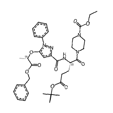 CCOC(=O)N1CCN(C(=O)[C@H](CCC(=O)OC(C)(C)C)NC(=O)c2cc(O[C@@H](C)C(=O)OCc3ccccc3)n(-c3ccccc3)n2)CC1